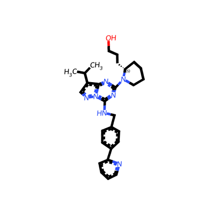 CC(C)c1cnn2c(NCc3ccc(-c4ccccn4)cc3)nc(N3CCCC[C@H]3CCCO)nc12